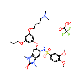 CCCOc1cc(OCCCCN(C)C)cc(Oc2cc3c(cc2NS(=O)(=O)c2ccc(OC)c(OC)c2)n(C)c(=O)n3C)c1.O=C(O)C(F)(F)F